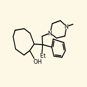 CCC(CN1CCN(C)CC1)(c1ccccc1)C1CCCCCCC1O